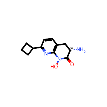 N[C@H]1Cc2ccc(C3CCC3)nc2N(O)C1=O